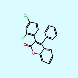 O=c1oc2ccccc2c(-c2ccccc2)c1-c1ccc(Cl)cc1Cl